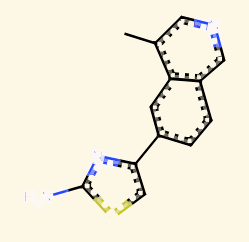 Cc1cncc2ccc(-c3csc(N)n3)cc12